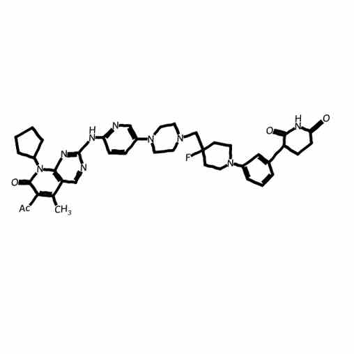 CC(=O)c1c(C)c2cnc(Nc3ccc(N4CCN(CC5(F)CCN(c6cccc(C7CCC(=O)NC7=O)c6)CC5)CC4)cn3)nc2n(C2CCCC2)c1=O